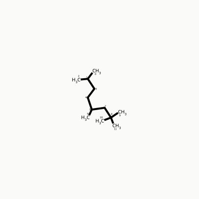 CC(C)CCC(C)CC(C)(C)C